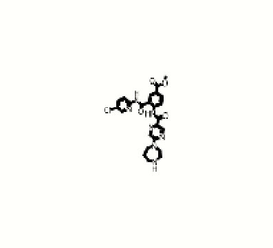 COC(=O)c1ccc(NC(=O)c2cnc(N3CCCNCC3)cn2)c(C(=O)Nc2ccc(Cl)cn2)c1